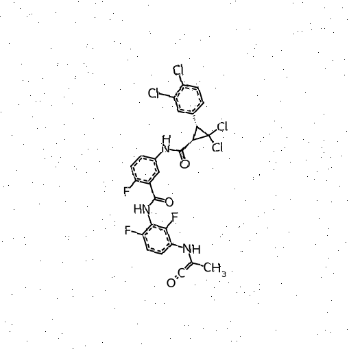 CC(=C=O)Nc1ccc(F)c(NC(=O)c2cc(NC(=O)[C@H]3[C@H](c4ccc(Cl)c(Cl)c4)C3(Cl)Cl)ccc2F)c1F